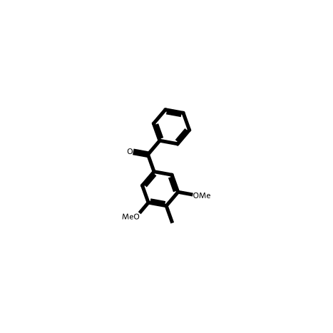 COc1cc(C(=O)c2[c]cccc2)cc(OC)c1C